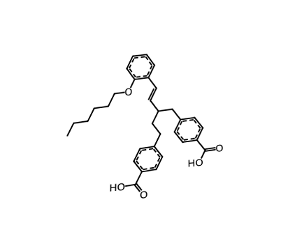 CCCCCCOc1ccccc1C=CC(CCc1ccc(C(=O)O)cc1)Cc1ccc(C(=O)O)cc1